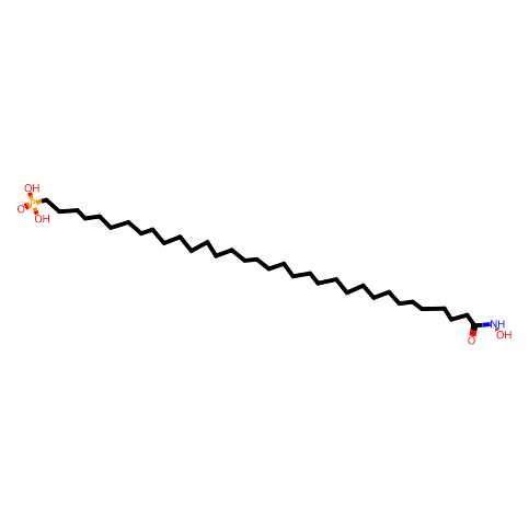 O=C(CCCCCCCCCCCCCCCCCCCCCCCCCCCCCCCCCP(=O)(O)O)NO